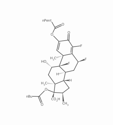 CCCCCC(=O)OC1=C[C@@]2(C)C(=C(F)C1=O)[C@@H](F)C[C@H]1[C@@H]3C[C@@H](C)[C@@](OC(=O)CCCC)(C(=O)O)[C@@]3(C)C[C@H](O)[C@@]12F